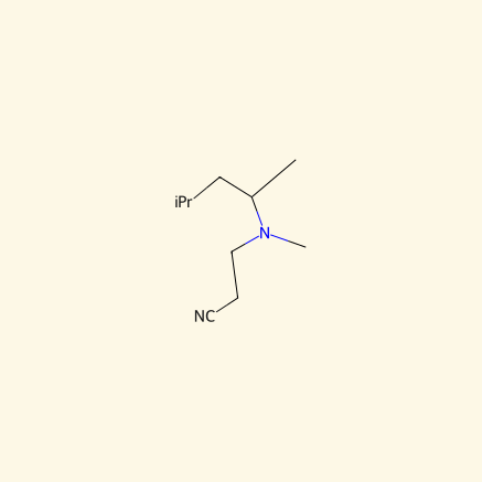 CC(C)CC(C)N(C)CCC#N